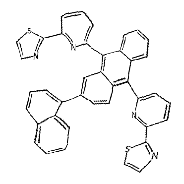 c1cc(-c2nccs2)nc(-c2c3ccccc3c(-c3cccc(-c4nccs4)n3)c3cc(-c4cccc5ccccc45)ccc23)c1